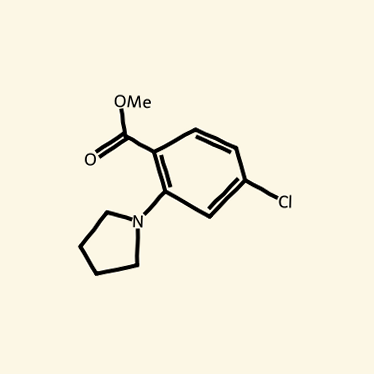 COC(=O)c1ccc(Cl)cc1N1CCCC1